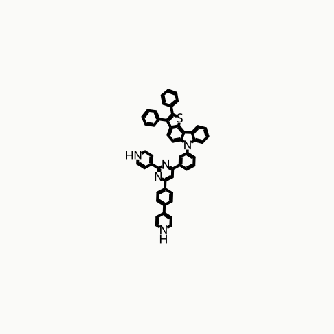 C1=CC(c2ccc(-c3cc(-c4cccc(-n5c6ccccc6c6c7sc(-c8ccccc8)c(-c8ccccc8)c7ccc65)c4)nc(C4=CCNC=C4)n3)cc2)=CCN1